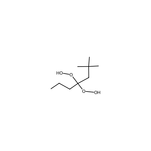 CCCC(CC(C)(C)C)(OO)OO